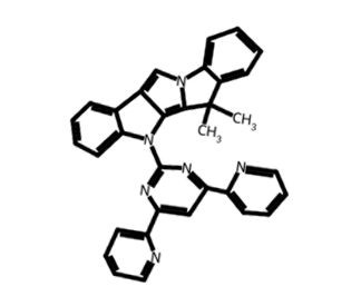 CC1(C)c2ccccc2-n2cc3c4ccccc4n(-c4nc(-c5ccccn5)cc(-c5ccccn5)n4)c3c21